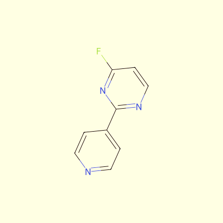 Fc1ccnc(-c2ccncc2)n1